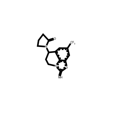 N=c1sc2cc(C(F)(F)F)cc3c2n1CCC3N1CCCC1=O